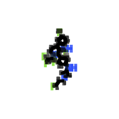 FCCCN1CC(Nc2cc(F)c(C3c4[nH]c5ccc(F)cc5c4CCN3CC(F)F)c(F)c2)C1